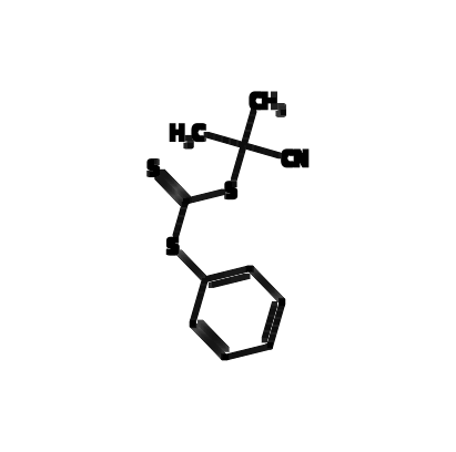 CC(C)(C#N)SC(=S)Sc1ccccc1